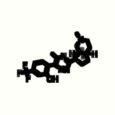 Cc1nc(N2CC[C@H]3CCN(C)C[C@H]32)nnc1-c1ccc(C(F)(F)F)cc1O